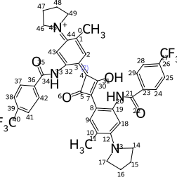 CC1=C/C(=C2/C(=O)C(c3cc(C)c(N4CCCC4)cc3NC(=O)c3ccc(C(F)(F)F)cc3)=C2O)C(NC(=O)c2ccc(C(F)(F)F)cc2)=CC1=[N+]1CCCC1